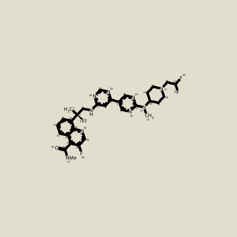 CC[C@@](C)(CNc1cc(-c2cnc(N(C)C3CCN(CC(F)F)CC3)nc2)ncn1)c1cccc2c(C(=O)NC)c(F)cnc12